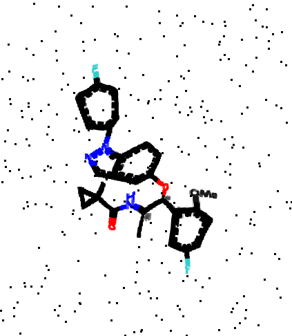 COc1ccc(F)cc1[C@H](Oc1ccc2c(cnn2-c2ccc(F)cc2)c1)[C@@H](C)NC(=O)C1(C)CC1